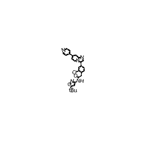 CC(C)(C)c1cc(NC(=O)Cc2ccc(-c3cnc4cc(-c5ccncc5)ccn34)cc2Cl)no1